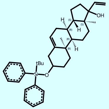 C=CC1(O)CC[C@H]2[C@@H]3CC=C4CC(O[Si](c5ccccc5)(c5ccccc5)C(C)(C)C)CC[C@]4(C)[C@@H]3CC[C@@]21C